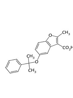 Cc1oc2ccc(OC(C)(C)c3ccccc3)cc2c1C(=O)O